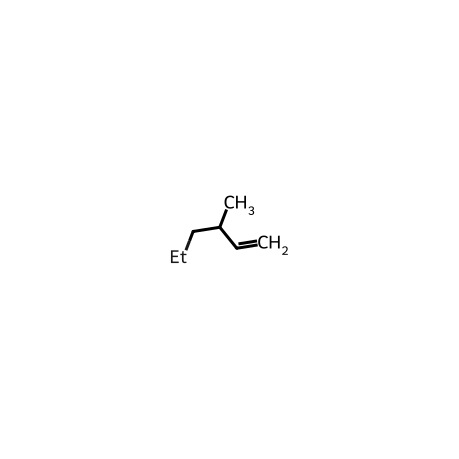 C=CC(C)CCC